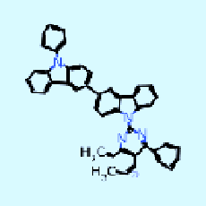 C=Cc1nc(-n2c3ccccc3c3cc(-c4ccc5c(c4)c4ccccc4n5-c4ccccc4)ccc32)nc(-c2ccccc2)c1/C=C\C